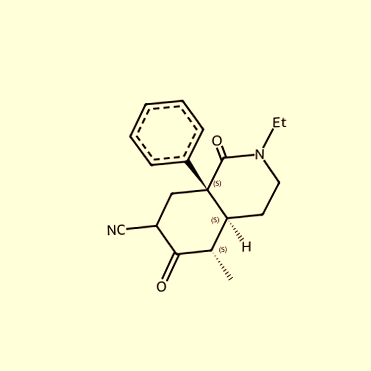 CCN1CC[C@H]2[C@H](C)C(=O)C(C#N)C[C@]2(c2ccccc2)C1=O